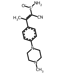 C/C(=C(/C#N)[S+](N)[O-])c1ccc(N2CCN(C)CC2)cc1